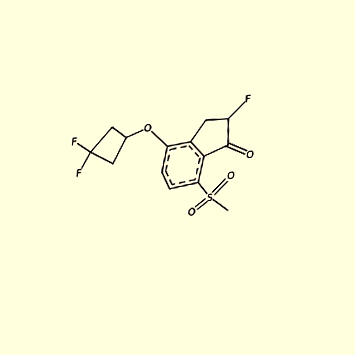 CS(=O)(=O)c1ccc(OC2CC(F)(F)C2)c2c1C(=O)C(F)C2